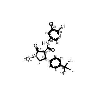 CN1C[C@@H](c2ccc(C(F)(F)F)cc2)[C@H](C(=O)Nc2cnc(Cl)c(Cl)c2)C1=O